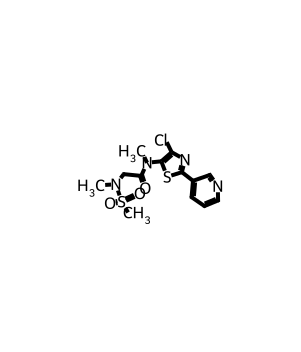 CN(C(=O)CN(C)S(C)(=O)=O)c1sc(-c2cccnc2)nc1Cl